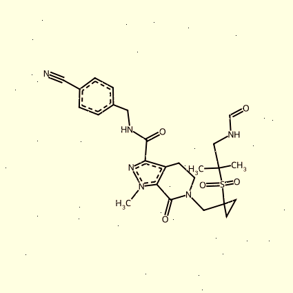 Cn1nc(C(=O)NCc2ccc(C#N)cc2)c2c1C(=O)N(CC1(S(=O)(=O)C(C)(C)CNC=O)CC1)CC2